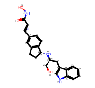 O=C(/C=C/c1ccc2c(c1)CC[C@H]2N[C@H](CO)Cc1c[nH]c2ccccc12)NO